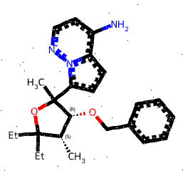 CCC1(CC)OC(C)(c2ccc3c(N)ccnn23)[C@H](OCc2ccccc2)[C@@H]1C